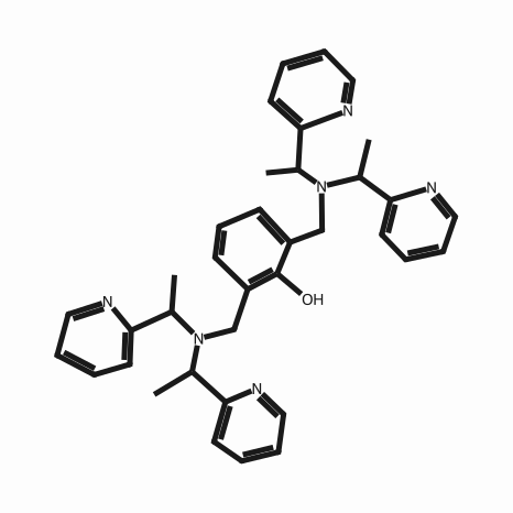 CC(c1ccccn1)N(Cc1cccc(CN(C(C)c2ccccn2)C(C)c2ccccn2)c1O)C(C)c1ccccn1